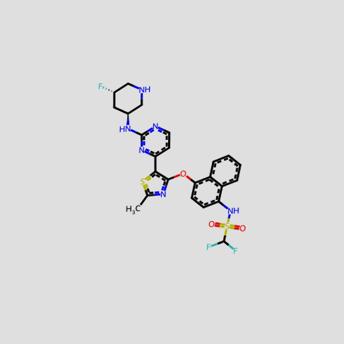 Cc1nc(Oc2ccc(NS(=O)(=O)C(F)F)c3ccccc23)c(-c2ccnc(N[C@@H]3CNC[C@@H](F)C3)n2)s1